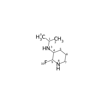 CC(C)NC1CCCNC1F